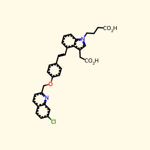 O=C(O)CCCn1cc(CC(=O)O)c2c(C=Cc3ccc(OCc4ccc5ccc(Cl)cc5n4)cc3)cccc21